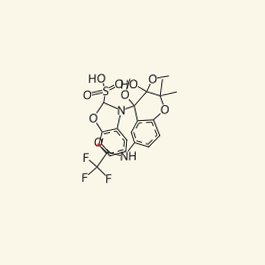 COC1(N2c3ccccc3OC2S(=O)(=O)O)c2cc(NC(=O)C(F)(F)F)ccc2OC(C)(C)C1(O)OC